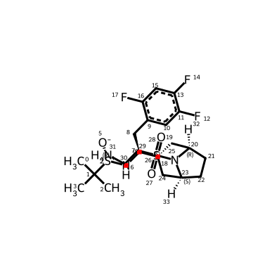 CC(C)(C)[S@+]([O-])N[C@@H](Cc1cc(F)c(F)cc1F)[C@@H]1C[C@H]2CC[C@@H](C1)N2S(=O)(=O)CCN